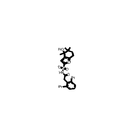 CC(C)c1cccc(C(C)C)c1CC(=O)NS(=O)(=O)c1cc2c(o1)CCC(C)(C)C2(C)O